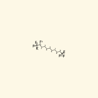 FC(CCCCCCCCC(F)(F)F)[C](F)(F)[K]